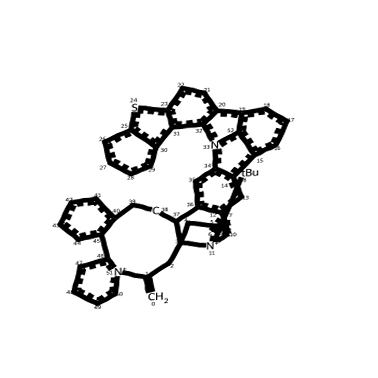 C=C1CC23Cc4cc(C(C)(C)C)cc([n+]42)-c2cc4c5cccc6c7ccc8sc9ccccc9c8c7n(c4cc2C3CCc2ccccc2-c2cccc[n+]21)c56